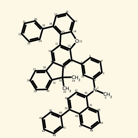 CN(c1cccc(-c2c3c(cc4c2oc2cccc(-c5ccccc5)c24)-c2ccccc2C3(C)C)c1)c1ccc(-c2ccccc2)c2ccccc12